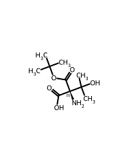 CC(C)(C)OC(=O)[C@@](N)(C(=O)O)C(C)(C)O